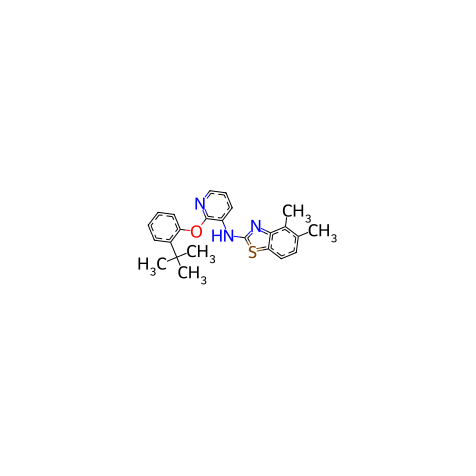 Cc1ccc2sc(Nc3cccnc3Oc3ccccc3C(C)(C)C)nc2c1C